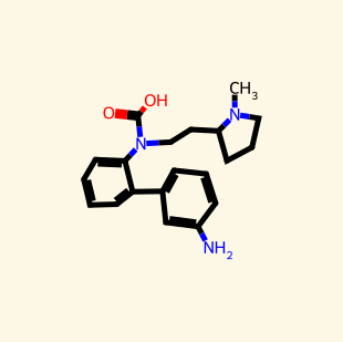 CN1CCCC1CCN(C(=O)O)c1ccccc1-c1cccc(N)c1